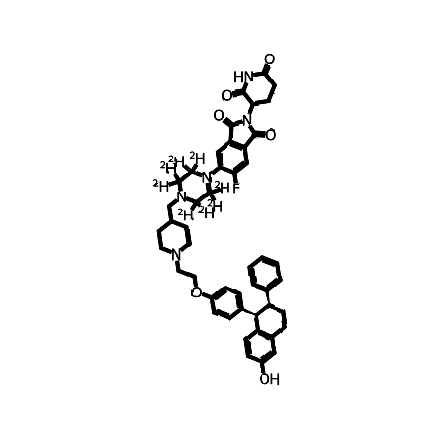 [2H]C1([2H])N(CC2CCN(CCOc3ccc([C@@H]4c5ccc(O)cc5CC[C@@H]4c4ccccc4)cc3)CC2)C([2H])([2H])C([2H])([2H])N(c2cc3c(cc2F)C(=O)N(C2CCC(=O)NC2=O)C3=O)C1([2H])[2H]